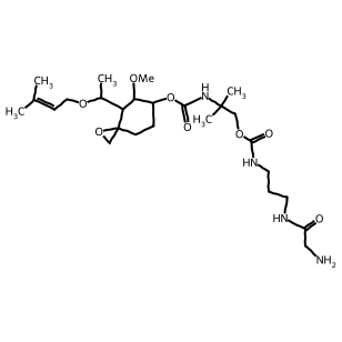 COC1C(OC(=O)NC(C)(C)COC(=O)NCCCNC(=O)CN)CCC2(CO2)C1C(C)OCC=C(C)C